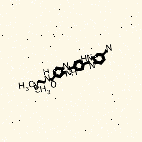 CN(C)CCNC(=O)c1ccc2nc(-c3ccc(-c4nc5ccc(C#N)cc5[nH]4)cc3)[nH]c2c1